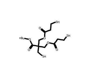 CCCCOC(=O)C(CS)(COC(=O)CCS)COC(=O)CCS